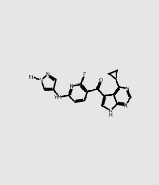 CCn1cc(Nc2ccc(C(=O)c3c[nH]c4ncnc(C5CC5)c34)c(F)n2)cn1